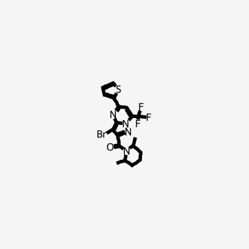 CC1CCCC(C)N1C(=O)c1nn2c(C(F)(F)F)cc(-c3cccs3)nc2c1Br